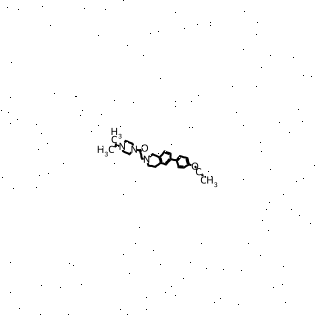 CCCOc1ccc(-c2ccc3c(c2)CCN(CC(=O)N2CCN(C(C)C)CC2)C3)cc1